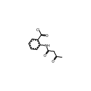 CC(=O)CC(=O)Nc1ccccc1C(=O)Cl